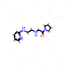 O=C(CNCCNc1ccccn1)N1CCCC1